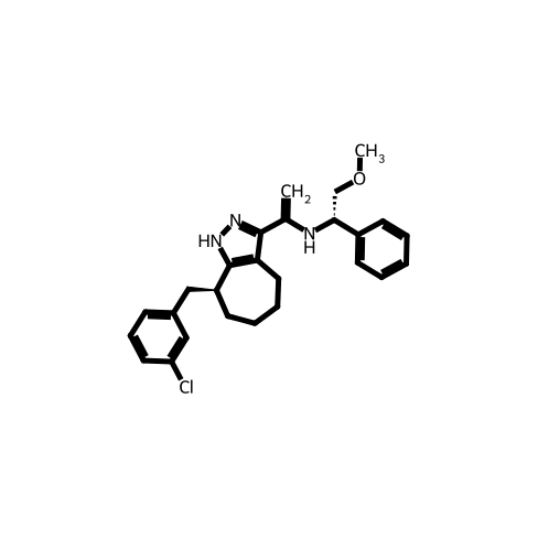 C=C(N[C@H](COC)c1ccccc1)c1n[nH]c2c1CCCC[C@H]2Cc1cccc(Cl)c1